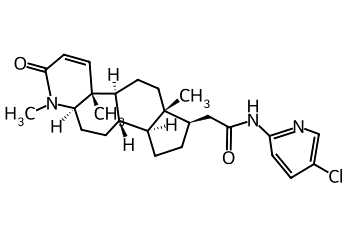 CN1C(=O)C=C[C@]2(C)[C@H]3CC[C@]4(C)[C@@H](CC(=O)Nc5ccc(Cl)cn5)CC[C@H]4[C@@H]3CC[C@@H]12